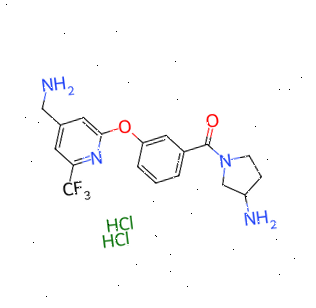 Cl.Cl.NCc1cc(Oc2cccc(C(=O)N3CCC(N)C3)c2)nc(C(F)(F)F)c1